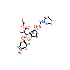 CCOC(=O)C(C)C(c1cccc(OCCN2CCCCC2)c1)S(=O)(=O)c1ccc(OC)cc1